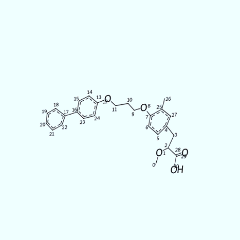 COC(Cc1ccc(OCCCOc2ccc(-c3ccccc3)cc2)c(C)c1)C(=O)O